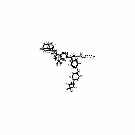 COC[C@@H](C)n1cc(-c2ncc(C(=O)NC3(C(C)=O)C4CC5CC(C4)CC3C5)c(C(C)(F)F)n2)c2ccc(O[C@H]3CC[C@H](N4CC(F)(F)C4)CC3)cc21